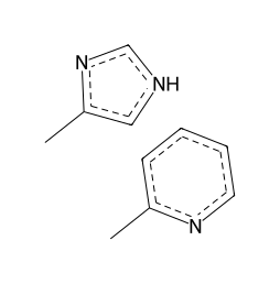 Cc1c[nH]cn1.Cc1ccccn1